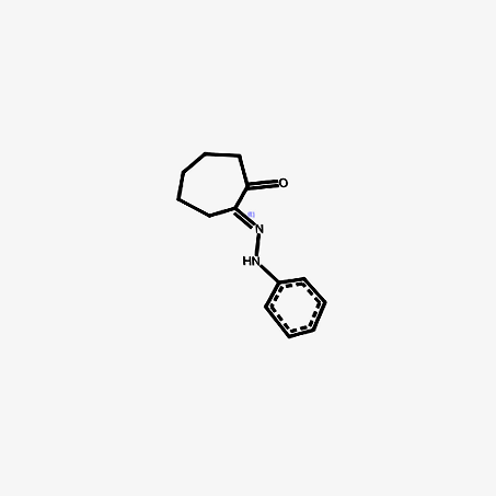 O=C1CCCCC/C1=N\Nc1ccccc1